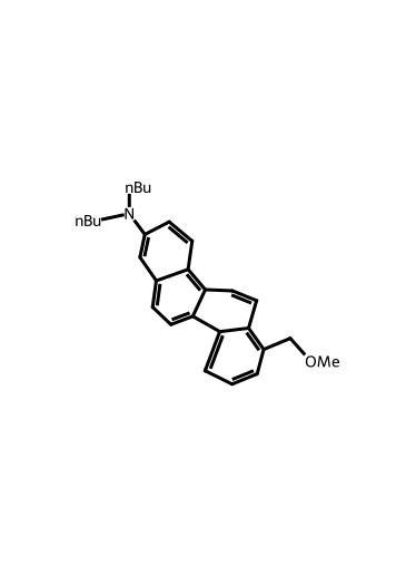 CCCCN(CCCC)c1ccc2c(ccc3c4cccc(COC)c4ccc23)c1